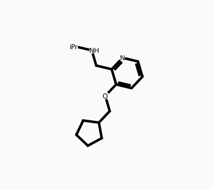 CC(C)NCc1ncccc1OCC1CCCC1